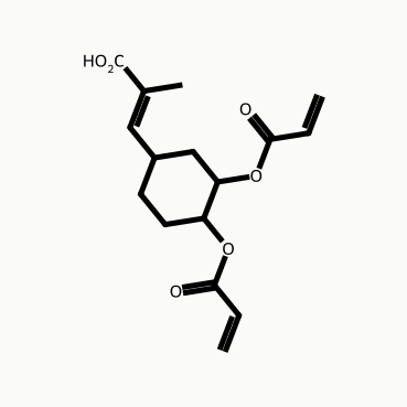 C=CC(=O)OC1CCC(C=C(C)C(=O)O)CC1OC(=O)C=C